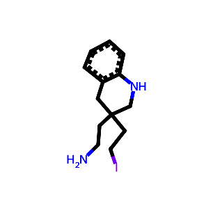 NCCC1(CCI)CNc2ccccc2C1